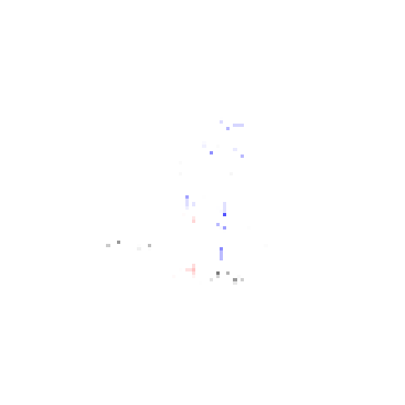 COc1cccc(-c2cc(F)ccc2C2Cc3nc(N)nc(C)c3C(=NOCC(CO)OC)N2)n1